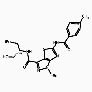 Cc1ccc(C(=O)Nc2nc3c(s2)c(C(=O)N[C@H](CO)CC(C)C)nn3C(C)(C)C)cc1